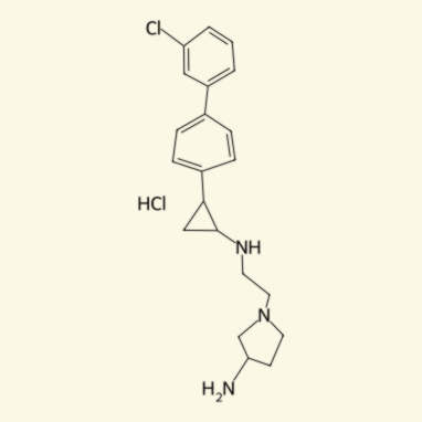 Cl.NC1CCN(CCNC2CC2c2ccc(-c3cccc(Cl)c3)cc2)C1